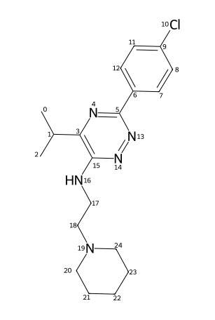 CC(C)c1nc(-c2ccc(Cl)cc2)nnc1NCCN1CCCCC1